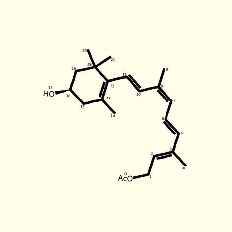 CC(=O)OCC=C(C)C=C/C=C(/C)C=CC1=C(C)C[C@@H](O)CC1(C)C